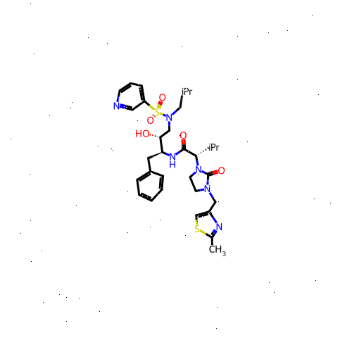 Cc1nc(CN2CCN([C@H](C(=O)N[C@@H](Cc3ccccc3)[C@H](O)CN(CC(C)C)S(=O)(=O)c3cccnc3)C(C)C)C2=O)cs1